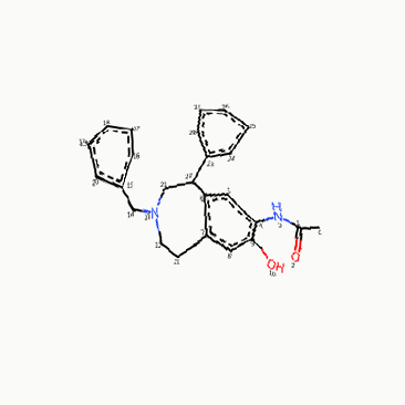 CC(=O)Nc1cc2c(cc1O)CCN(Cc1ccccc1)CC2c1ccccc1